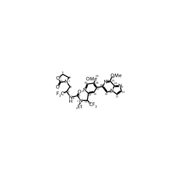 CCN(C(=O)NC(CN1CCOC1=O)C(F)(F)F)C(c1cc(-c2cn3ccnc3c(OC)n2)c(OC)cn1)C(F)(F)F